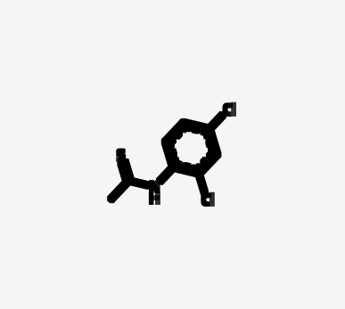 CC(=S)Nc1ccc(Cl)cc1Cl